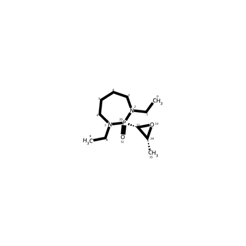 CCN1CCCCN(CC)P1(=O)[C@@H]1O[C@@H]1C